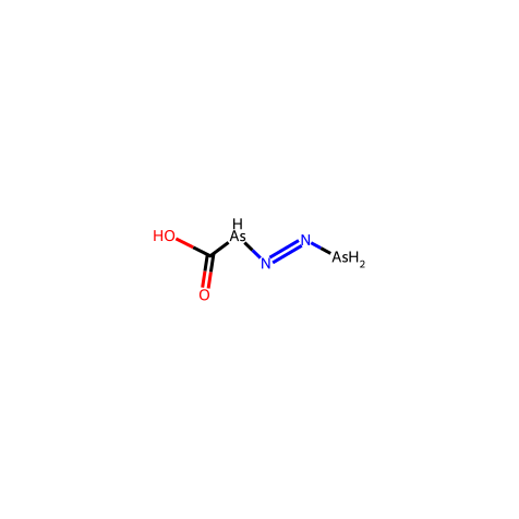 O=C(O)[AsH]N=N[AsH2]